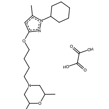 Cc1cc(OCCCCN2CC(C)OC(C)C2)nn1C1CCCCC1.O=C(O)C(=O)O